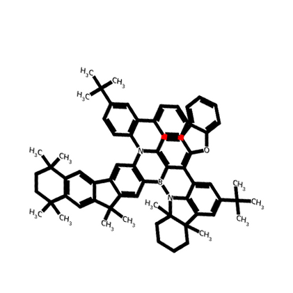 CC(C)(C)c1ccc(N2c3cc4c(cc3B3c5c2cc2c(oc6ccccc62)c5-c2cc(C(C)(C)C)cc5c2N3C2(C)CCCCC52C)C(C)(C)c2cc3c(cc2-4)C(C)(C)CCC3(C)C)c(-c2ccccc2)c1